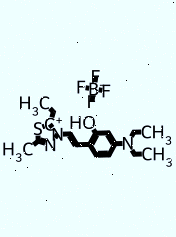 CC[c+]1sc(C)nn1C=Cc1ccc(N(CC)CC)cc1O.F[B-](F)(F)F